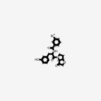 O=C(NC(Cc1cccc(O)c1)C(=O)N1CCC2OCC(=O)C21)c1cccc(Br)c1